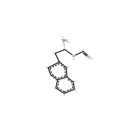 N[C@@H](Cc1ccc2ccccc2c1)OC=O